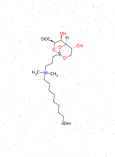 CCCCCCCCCCCCCCCCCC[N+](C)(C)CCC[Si]12OC[C@@H](O)[C@@H](O1)[C@H](O)[C@H](C(=O)[O-])O2